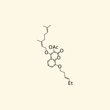 CCC=CCCOc1cccc2c(OCC=C(C)CCC=C(C)C)c(OC(C)=O)c(=O)oc12